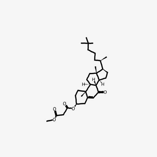 COC(=O)CC(=O)O[C@H]1CC[C@@]2(C)C(=CC(=O)[C@H]3[C@@H]4CC[C@H]([C@H](C)CCCC(C)(C)C)[C@@]4(C)CC[C@@H]32)C1